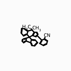 CC1(C)c2ccccc2C2(c3ccccc3-c3ccccc32)c2cc(-c3ccccc3C#N)ccc21